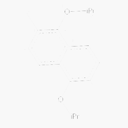 Cc1ccc2c(OC(C)C)cccc2c1OC(C)C